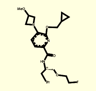 COC1CN(c2ccc(C(=O)N[C@H](COCCF)CC(C)C)nc2OCC2CC2)C1